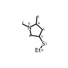 CCSC1CC(C)N(C)C1